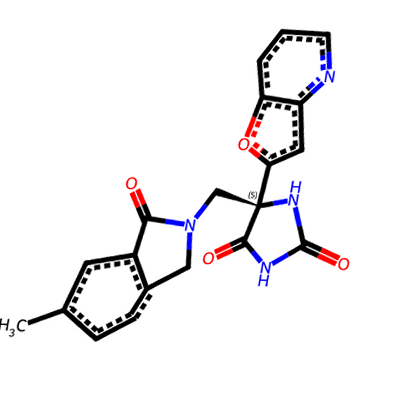 Cc1ccc2c(c1)C(=O)N(C[C@@]1(c3cc4ncccc4o3)NC(=O)NC1=O)C2